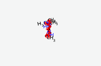 CCO[C@H]1C[C@@H](c2nc3ccc4cc5c(cc4c3[nH]2)OCc2cc(C3=NC([C@@H]4CCCN4C(=O)[C@H](NC(=O)OC)c4ccccc4)=NC3)ccc2-5)N(C(=O)[C@@H](NC(=O)OC)C(C)C)C1